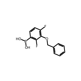 OB(O)c1ccc(F)c(OCc2ccccc2)c1F